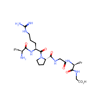 CC(C)[C@H](N)C(=O)N[C@@H](CCCNC(=N)N)C(=O)N1CCC[C@H]1C(=O)NCC(=O)N[C@H](C(=O)NCC(=O)O)C(C)C